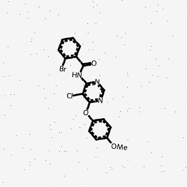 COc1ccc(Oc2ncnc(NC(=O)c3ccccc3Br)c2Cl)cc1